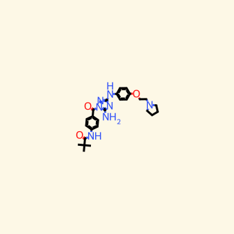 CC(C)(C)C(=O)Nc1ccc(C(=O)n2nc(Nc3ccc(OCCN4CCCC4)cc3)nc2N)cc1